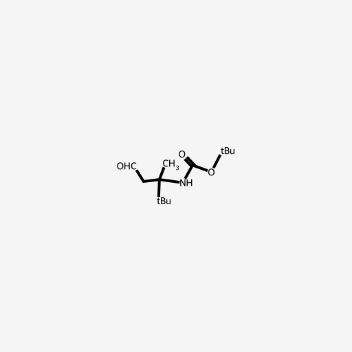 CC(C)(C)OC(=O)NC(C)(CC=O)C(C)(C)C